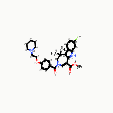 CC(C)OC(=O)C1=CN(C(=O)c2ccc(OCCN3CCCCC3)cc2)CC(C)(C)c2c1[nH]c1cc(F)ccc21